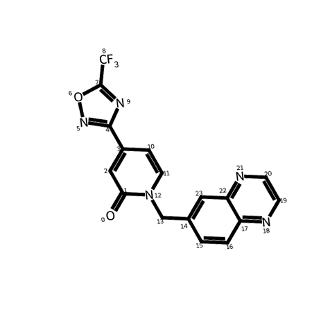 O=c1cc(-c2noc(C(F)(F)F)n2)ccn1Cc1ccc2nccnc2c1